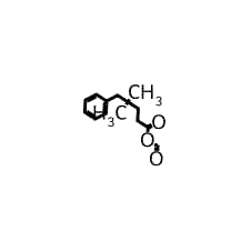 CC(C)(CCC(=O)OC=O)Cc1ccccc1